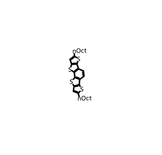 CCCCCCCCc1cc2sc3c(ccc4c5sc(CCCCCCCC)cc5sc43)c2s1